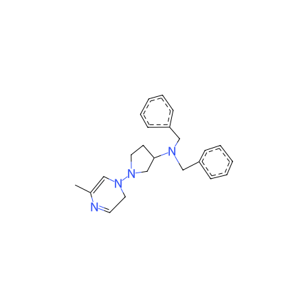 CC1=CN(N2CCC(N(Cc3ccccc3)Cc3ccccc3)C2)CC=N1